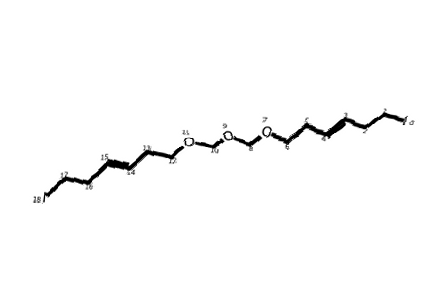 ICCC=CCCOCOCOCCC=CCCI